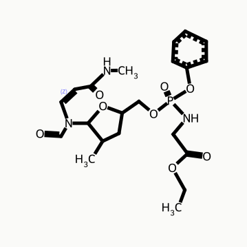 CCOC(=O)CNP(=O)(OCC1CC(C)C(N(C=O)/C=C\C(=O)NC)O1)Oc1ccccc1